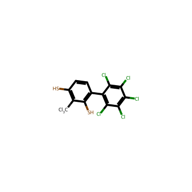 Sc1ccc(-c2c(Cl)c(Cl)c(Cl)c(Cl)c2Cl)c(S)c1C(Cl)(Cl)Cl